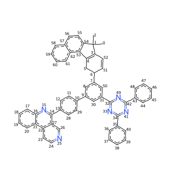 CC1(C)C2=C(CC(c3cc(-c4ccc(-c5nc6ccccc6c6ccncc56)cc4)cc(-c4nc(-c5ccccc5)nc(-c5ccccc5)n4)c3)C=C2)c2c1ccc1ccccc21